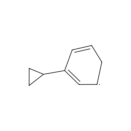 [CH]1C=C(C2CC2)C=CC1